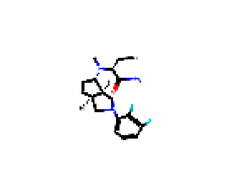 CC(C)C[C@@H](C(N)=O)N(C)[C@H]1CC[C@@H]2CN(c3cccc(F)c3F)C[C@@H]21